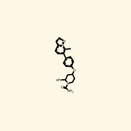 CCCC1CC(Oc2ccc(-c3ccc4ccnn4c3C)cc2)CCN1C(N)=O